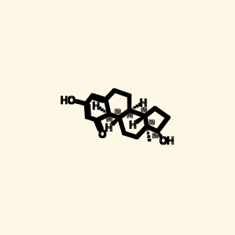 C[C@]12CC[C@@H]3[C@H]4C(=O)C=C(O)C=C4CC[C@H]3[C@@H]1CC[C@@H]2O